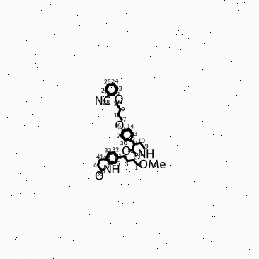 COCCCC(OC1CNCCC1c1ccc(OCCCCOc2ccccc2C#N)cc1)c1ccc2c(c1)NC(=O)CC2